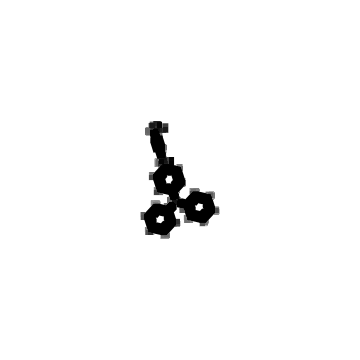 CC(C)(C)C#[C][Au].c1ccc(P(c2ccccc2)c2ccccc2)cc1